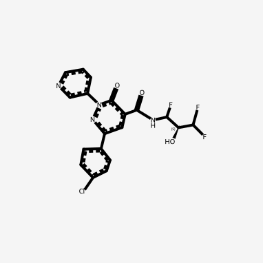 O=C(NC(F)[C@H](O)C(F)F)c1cc(-c2ccc(Cl)cc2)nn(-c2cccnc2)c1=O